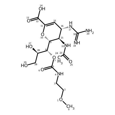 COCCNC(=O)O[C@@H]([C@@H]1OC(C(=O)O)=C[C@H](NC(=N)N)[C@H]1NC(C)=O)[C@H](O)CO